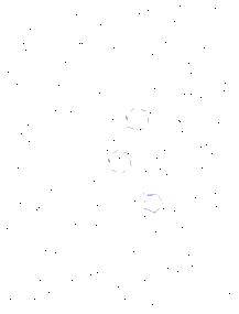 COCC1COC(Cn2cncn2)(c2ccc(Oc3ccc(Cl)cc3)cc2)O1